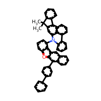 CC1(C)c2ccccc2-c2ccc(N(c3ccccc3-c3ccccc3)c3cccc4oc5c(-c6ccc(-c7ccccc7)cc6)c6ccccc6cc5c34)cc21